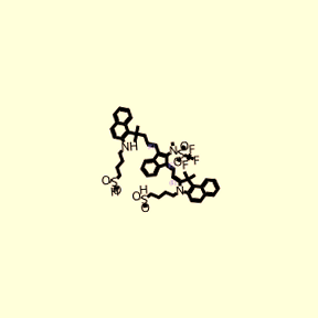 CN(C1=C(/C=C/CC(C)(C)c2c(NCCCC[SH](=O)=O)ccc3ccccc23)c2ccccc2/C1=C\C=C1\N(CCCC[SH](=O)=O)c2ccc3ccccc3c2C1(C)C)S(=O)(=O)C(F)(F)F